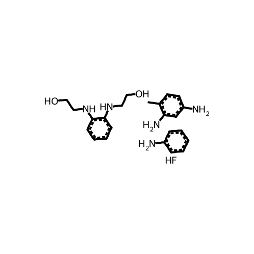 Cc1ccc(N)cc1N.F.Nc1ccccc1.OCCNc1ccccc1NCCO